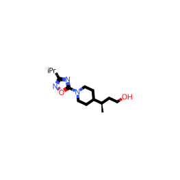 CC(C)c1noc(N2CCC([C@H](C)CCO)CC2)n1